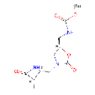 C[C@@H]1C(=O)N[C@@H]1CN1C[C@@H](CNC(=O)OC(C)(C)C)OC1=O